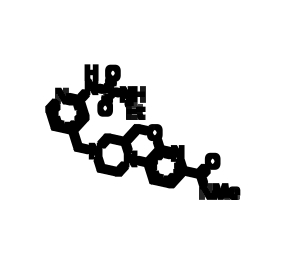 CCNS(=O)(=O)Nc1cc(CN2CCN3c4ccc(C(=O)NC)nc4OCC3C2)ccn1